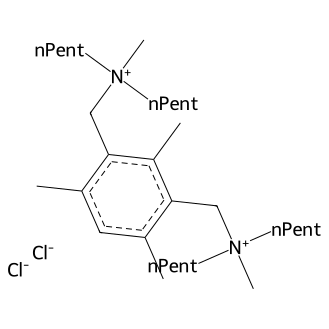 CCCCC[N+](C)(CCCCC)Cc1c(C)cc(C)c(C[N+](C)(CCCCC)CCCCC)c1C.[Cl-].[Cl-]